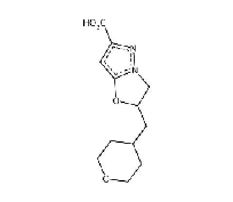 O=C(O)c1cc2n(n1)CC(CC1CCOCC1)O2